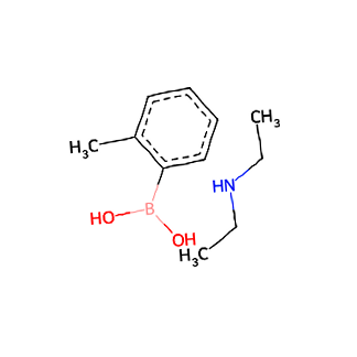 CCNCC.Cc1ccccc1B(O)O